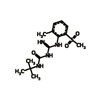 Cc1cccc(S(C)(=O)=O)c1NC(=N)NC(=O)NC(C)(C)C